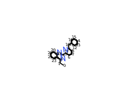 CCc1nc(-c2cccc(Cc3ccccc3)n2)nc2ccccc12